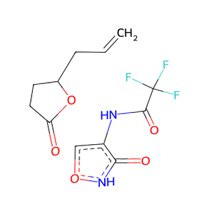 C=CCC1CCC(=O)O1.O=C(Nc1co[nH]c1=O)C(F)(F)F